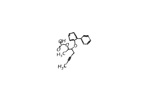 CC#CCC(Oc1ccccc1-c1ccccc1)C(C)OS(=O)O